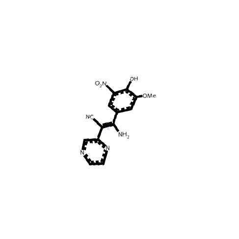 COc1cc(/C(N)=C(\C#N)c2cnccn2)cc([N+](=O)[O-])c1O